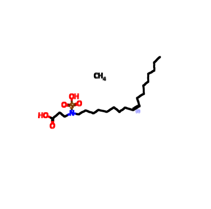 C.CCCCCCCC/C=C\CCCCCCCCN(CCC(=O)O)S(=O)(=O)O